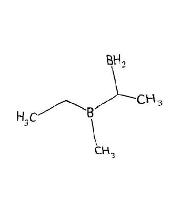 BC(C)B(C)CC